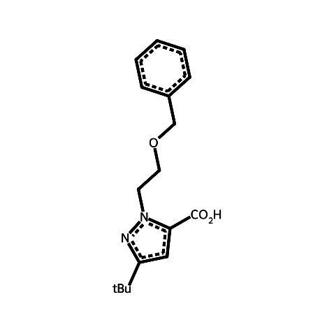 CC(C)(C)c1cc(C(=O)O)n(CCOCc2ccccc2)n1